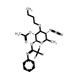 CCCCOC1[C@H](N=[N+]=[N-])C(C)O[C@@H](O/C(=N/c2ccccc2)C(F)(F)F)[C@@H]1OC(C)=O